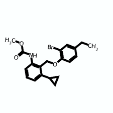 CCc1ccc(OCc2c(NC(=O)OC)cccc2C2CC2)c(Br)c1